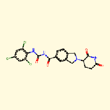 O=C1CCC(N2Cc3ccc(C(=O)NC(=O)Nc4c(Cl)cc(Cl)cc4Cl)cc3C2)C(=O)N1